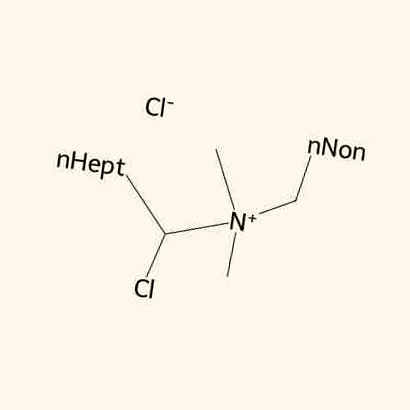 CCCCCCCCCC[N+](C)(C)C(Cl)CCCCCCC.[Cl-]